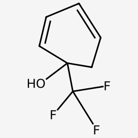 OC1(C(F)(F)F)C=CC=CC1